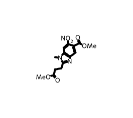 COC(=O)CCc1nc2cc(C(=O)OC)c([N+](=O)[O-])cc2n1C